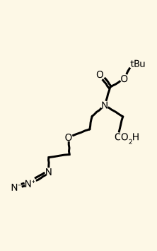 CC(C)(C)OC(=O)N(CCOCCN=[N+]=[N-])CC(=O)O